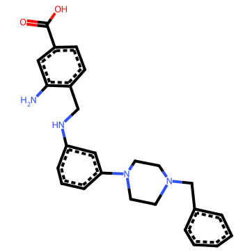 Nc1cc(C(=O)O)ccc1CNc1cccc(N2CCN(Cc3ccccc3)CC2)c1